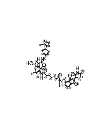 Cc1ncsc1-c1ccc(CNC(=O)[C@@H]2C[C@@H](O)CN2C(=O)[C@@H](NC(=O)CCCCCC(=O)NCc2cccc3c2C(=O)N(C2CCC(=O)NC2=O)C3=O)C(C)(C)C)cc1